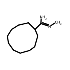 C/N=C(\N)C1CCCCCCCCCC1